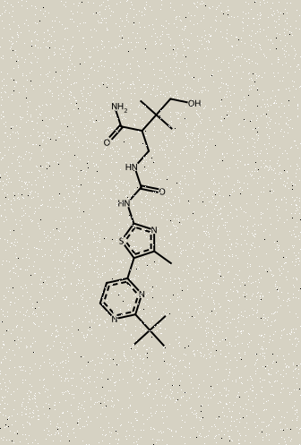 Cc1nc(NC(=O)NCC(C(N)=O)C(C)(C)CO)sc1-c1ccnc(C(C)(C)C)n1